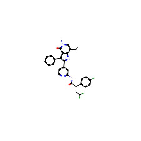 Cn1cc(CC(F)(F)F)c2[nH]c(-c3ccnc(NC(=O)[C@@H](CC(F)F)c4ccc(F)cc4)c3)c(-c3ccccc3)c2c1=O